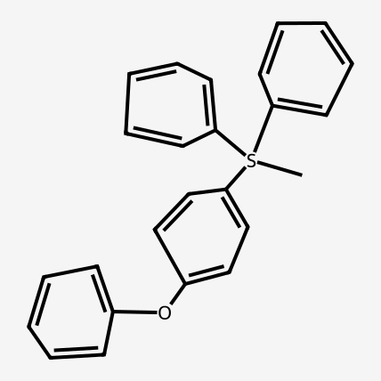 CS(c1ccccc1)(c1ccccc1)c1ccc(Oc2ccccc2)cc1